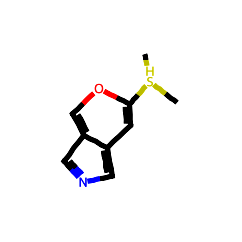 C[SH](C)c1cc2cncc-2co1